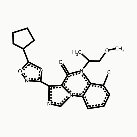 COCC(C)n1c(=O)c2c(-c3noc(C4CCCC4)n3)ncn2c2cccc(Cl)c21